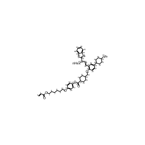 C=CC(=O)OCCCCCCOc1ccc(OC(=O)C2CCC(COc3ccc(C4CCC(CCC)CC4)cc3/C=N/N(CCCCCC)c3nc4ccccc4s3)CC2)cc1